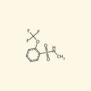 CNS(=O)(=O)c1ccccc1OC(F)(F)F